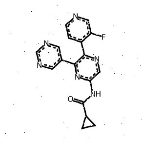 O=C(Nc1cnc(-c2ccncc2F)c(-c2cncnc2)n1)C1CC1